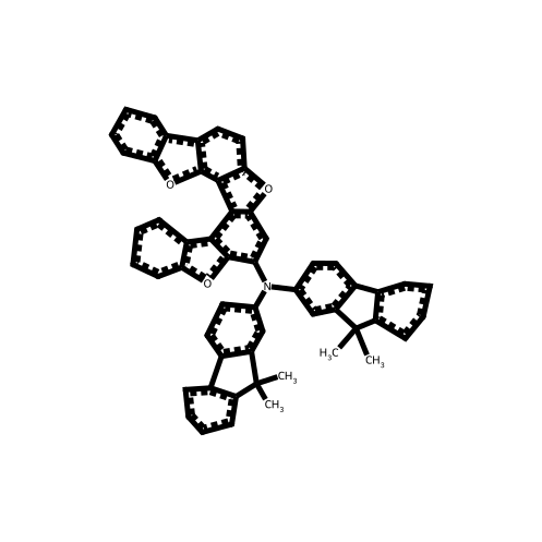 CC1(C)c2ccccc2-c2ccc(N(c3ccc4c(c3)C(C)(C)c3ccccc3-4)c3cc4oc5ccc6c7ccccc7oc6c5c4c4c3oc3ccccc34)cc21